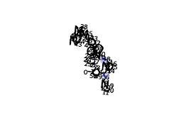 Cc1ccc(/C(=C\CN2CCCC2)c2cccc(/C=C/CN(C3CCCCC3)S(=O)(=O)c3ccc(Cn4c(C)nc5cnccc54)cc3)n2)cc1